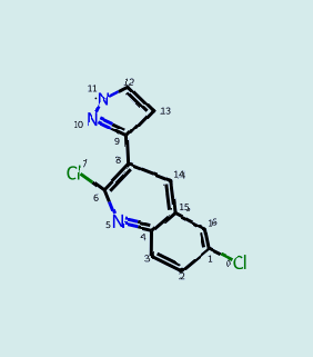 Clc1ccc2nc(Cl)c(C3=N[N]C=C3)cc2c1